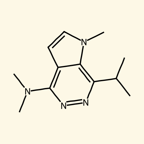 CC(C)c1nnc(N(C)C)c2ccn(C)c12